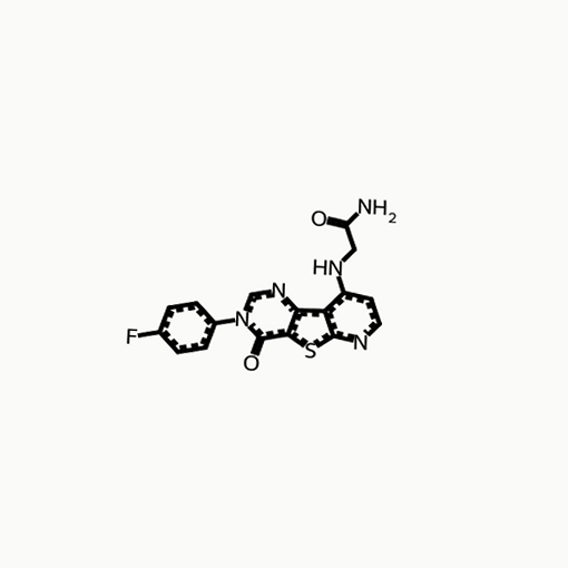 NC(=O)CNc1ccnc2sc3c(=O)n(-c4ccc(F)cc4)cnc3c12